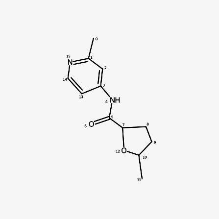 Cc1cc(NC(=O)C2CCC(C)O2)ccn1